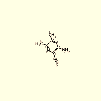 Cc1cc(N)c(C#N)nc1C